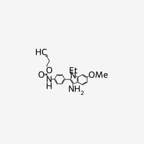 C#CCCOC(=O)Nc1ccc(-c2c(N)c3ccc(OC)cc3n2CC)cc1